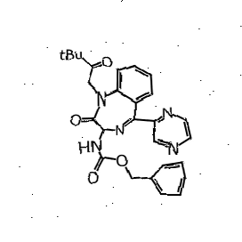 CC(C)(C)C(=O)CN1C(=O)C(NC(=O)OCc2ccccc2)N=C(c2cnccn2)c2ccccc21